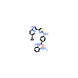 Nc1ccccc1NC(=O)c1ccc(Nc2nc(-c3cnc4ccc(C5CC5)cn34)cs2)cc1